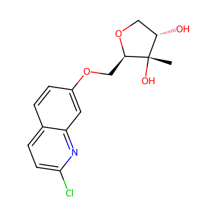 C[C@]1(O)[C@@H](O)CO[C@@H]1COc1ccc2ccc(Cl)nc2c1